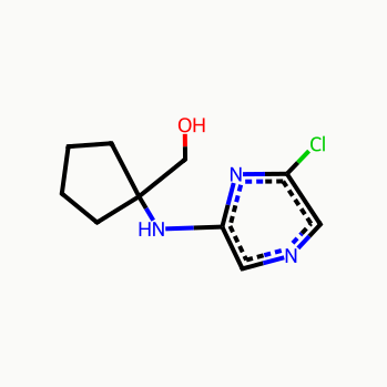 OCC1(Nc2cncc(Cl)n2)CCCC1